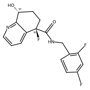 O=C(NCc1ccc(F)cc1F)[C@@]1(F)CC[C@@H](O)c2ncccc21